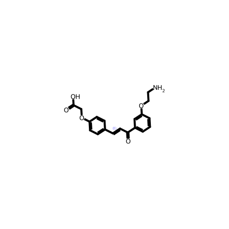 NCCOc1cccc(C(=O)/C=C/c2ccc(OCC(=O)O)cc2)c1